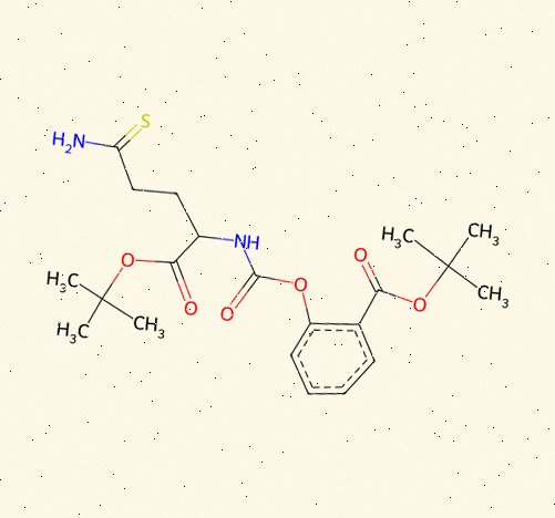 CC(C)(C)OC(=O)c1ccccc1OC(=O)NC(CCC(N)=S)C(=O)OC(C)(C)C